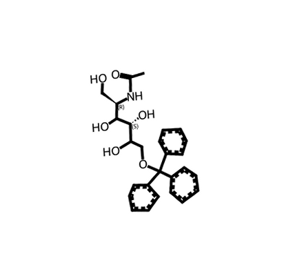 CC(=O)N[C@H](CO)C(O)[C@H](O)C(O)COC(c1ccccc1)(c1ccccc1)c1ccccc1